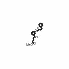 COC(=O)CCCC(O)c1cccc(OCc2ccc3ccccc3n2)c1